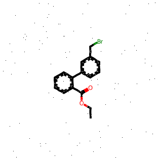 CCOC(=O)c1ccccc1-c1cccc(CBr)c1